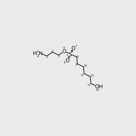 NCCCOS(=O)(=O)CCCCCCO